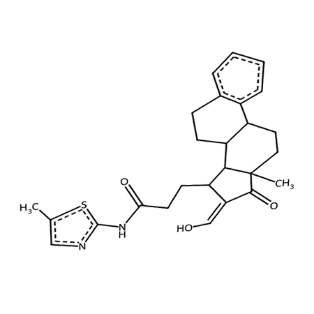 Cc1cnc(NC(=O)CCC2/C(=C\O)C(=O)C3(C)CCC4c5ccccc5CCC4C23)s1